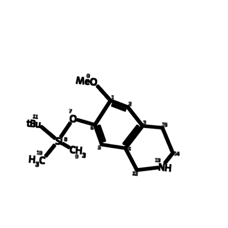 COc1cc2c(cc1O[Si](C)(C)C(C)(C)C)CNCC2